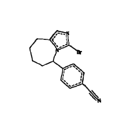 N#Cc1ccc(C2CCCCc3cnc(Br)n32)cc1